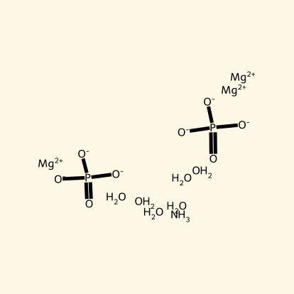 N.O.O.O.O.O.O.O=P([O-])([O-])[O-].O=P([O-])([O-])[O-].[Mg+2].[Mg+2].[Mg+2]